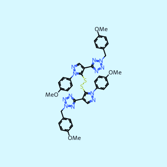 COc1ccc(Cn2nnc(-c3cnn(-c4ccc(OC)cc4)c3SSc3c(-c4nnn(Cc5ccc(OC)cc5)n4)cnn3-c3ccc(OC)cc3)n2)cc1